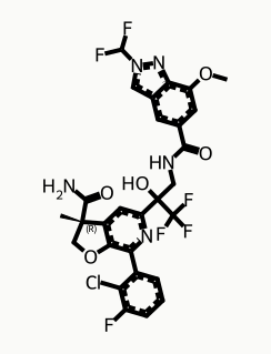 COc1cc(C(=O)NCC(O)(c2cc3c(c(-c4cccc(F)c4Cl)n2)OC[C@]3(C)C(N)=O)C(F)(F)F)cc2cn(C(F)F)nc12